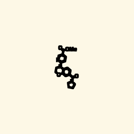 COC(=O)c1ccc(N2CCOc3cc(C(=O)N4CCCC4)ccc32)nc1